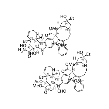 CC[C@]1(O)C[C@H]2C[N@](CCc3c([nH]c4ccccc34)[C@@](C(=O)OC)(c3cc4c(cc3OC)N(C)[C@H]3[C@@](O)(C(N)=O)[C@H](O)[C@]5(CC)C=CCN6CC[C@]43[C@@H]65)C2)C1.CC[C@]1(O)C[C@H]2C[N@](CCc3c([nH]c4ccccc34)[C@@](C(=O)OC)(c3cc4c(cc3OC)N(C=O)[C@H]3[C@@](O)(C(=O)OC)[C@H](OC(C)=O)[C@]5(CC)C=CCN6CC[C@]43[C@@H]65)C2)C1